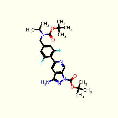 CC(C)N(Cc1cc(F)c(-c2cc3c(N)nn(C(=O)OC(C)(C)C)c3cn2)c(F)c1)C(=O)OC(C)(C)C